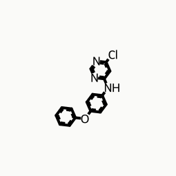 Clc1cc(Nc2ccc(Oc3ccccc3)cc2)ncn1